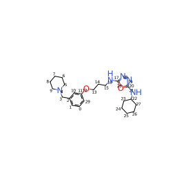 c1cc(CN2CCCCC2)cc(OCCCNc2nnc(NC3CCCCC3)o2)c1